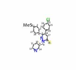 CSc1ccc(-c2nn(Cc3cccnc3)c(=S)cc2-c2ccc(Cl)cc2)cc1